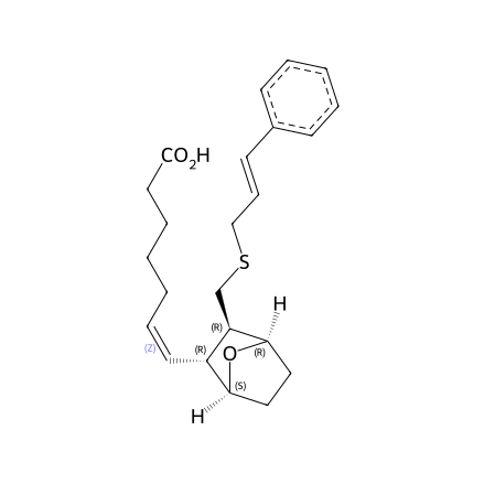 O=C(O)CCCC/C=C\[C@@H]1[C@@H](CSCC=Cc2ccccc2)[C@H]2CC[C@@H]1O2